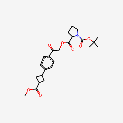 COC(=O)C1CC(c2ccc(C(=O)COC(=O)C3CCCN3C(=O)OC(C)(C)C)cc2)C1